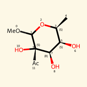 COC1O[C@@H](C)[C@@H](O)[C@@H](O)[C@@]1(O)C(C)=O